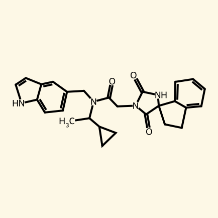 CC(C1CC1)N(Cc1ccc2[nH]ccc2c1)C(=O)CN1C(=O)NC2(CCc3ccccc32)C1=O